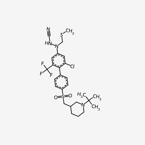 CSCN(NC#N)c1cc(Cl)c(-c2ccc(S(=O)(=O)CC3CCCN(C(C)(C)C)C3)cc2)c(C(F)(F)F)c1